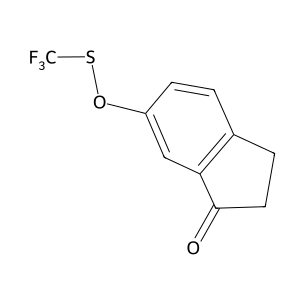 O=C1CCc2ccc(OSC(F)(F)F)cc21